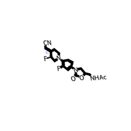 CC(=O)NCC1CN(c2ccc(N3CC/C(=C\C#N)[C@H](F)C3)c(F)c2)C(=O)O1